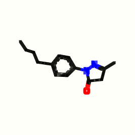 CCCCc1ccc(N2N=C(C)CC2=O)cc1